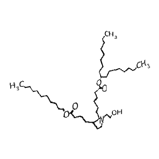 CCCCCCCCCCCOC(=O)CCCC1CCN(CCO)C1CCCCCC(=O)OC(CCCCCCCC)CCCCCCCC